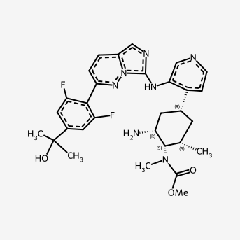 COC(=O)N(C)[C@@H]1[C@H](N)C[C@H](c2ccncc2Nc2ncc3ccc(-c4c(F)cc(C(C)(C)O)cc4F)nn23)C[C@@H]1C